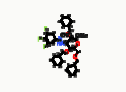 CO[C@H]1O[C@H](COCc2ccccc2)[C@H](OCc2ccccc2)[C@H](NN(C=O)c2cc(F)c(F)c(F)c2)[C@H]1OCc1ccccc1